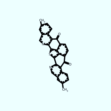 Cc1ccc2c3c(ncc2c1)-c1sc2c4c(ccc(c14)C3=O)C(=O)c1c-2ncc2cc(C)ccc12